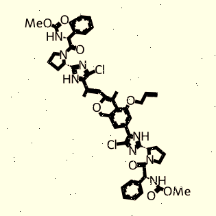 C=CCOc1cc(-c2[nH]c([C@@H]3CCCN3C(=O)[C@H](NC(=O)OC)c3ccccc3)nc2Cl)cc2c1C(C)=C(/C=C(\C)c1[nH]c([C@@H]3CCCN3C(=O)[C@H](NC(=O)OC)c3ccccc3)nc1Cl)OC2